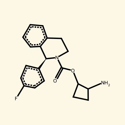 NC1CCC1OC(=O)N1CCc2ccccc2[C@@H]1c1ccc(F)cc1